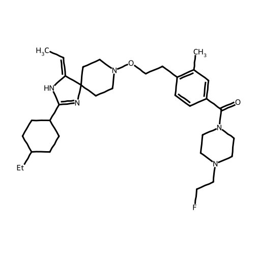 CC=C1NC(C2CCC(CC)CC2)=NC12CCN(OCCc1ccc(C(=O)N3CCN(CCF)CC3)cc1C)CC2